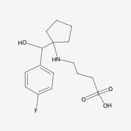 O=S(=O)(O)CCCNC1(C(O)c2ccc(F)cc2)CCCC1